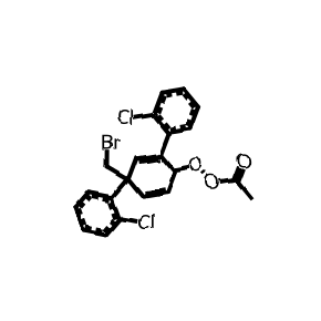 CC(=O)OOC1C=CC(CBr)(c2ccccc2Cl)C=C1c1ccccc1Cl